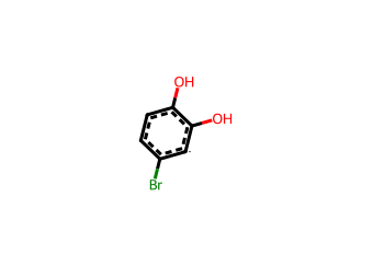 Oc1[c]c(Br)ccc1O